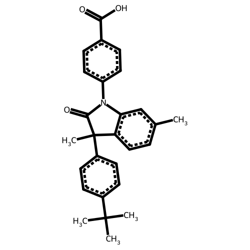 Cc1ccc2c(c1)N(c1ccc(C(=O)O)cc1)C(=O)C2(C)c1ccc(C(C)(C)C)cc1